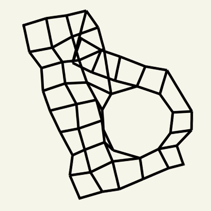 C1C2C3C1C1C4C5CC6C7C8C9C%10C%11C%12CC%13C%14C%15C%16CC%17C%18C%19C%20C%18C%17%16C%15%16C%15C%17C%18C%21(C%22C1C41C56C74C%221C%211C84C94C%105C%116C%13%12C%14%16C%156C%175C%1841)C14C3C2C1C%19C%204